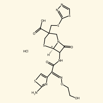 Cl.Nc1nc(C(=NOCCO)C(=O)NC2C(=O)N3CC(CSc4nncs4)(C(=O)O)CS[C@H]23)cs1